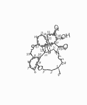 C[C@H]1CCOc2cccc3c2[C@H](c2ccccc2SC3)N2CN(CC1)C(=O)c1c(O)c(=O)ccn12